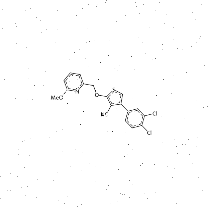 COc1cccc(COc2scc(-c3ccc(Cl)c(Cl)c3)c2C#N)n1